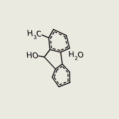 Cc1cccc2c1C(O)c1ccccc1-2.O